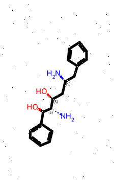 N[C@@H](Cc1ccccc1)C[C@H](O)[C@H](N)C(O)c1ccccc1